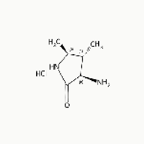 C[C@H]1[C@H](C)NC(=O)[C@@H]1N.Cl